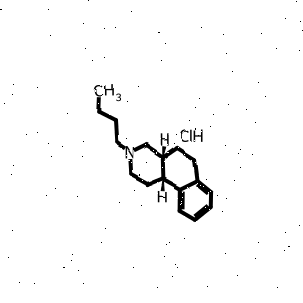 CCCCN1CC[C@H]2c3ccccc3CC[C@H]2C1.Cl